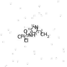 C=Cc1cc(NC(=O)C(Cl)Cl)ccn1